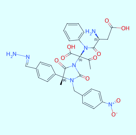 CC(=O)[C@@](C(=O)O)(N1C(=O)N(Cc2ccc([N+](=O)[O-])cc2)[C@](C)(c2ccc(C=NN)cc2)C1=O)N(C(=O)[C@@H](N)CC(=O)O)c1ccccc1